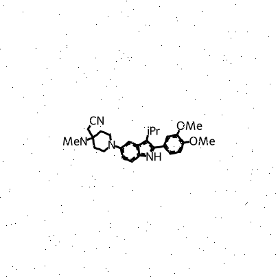 CNC1(CC#N)CCN(c2ccc3[nH]c(-c4ccc(OC)c(OC)c4)c(C(C)C)c3c2)CC1